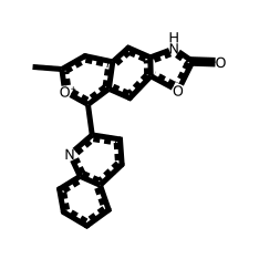 Cc1cc2cc3[nH]c(=O)oc3cc2c(-c2ccc3ccccc3n2)[o+]1